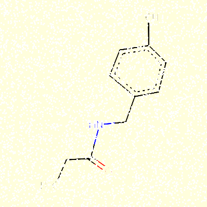 CCC(=O)NCc1ccc(C)cc1